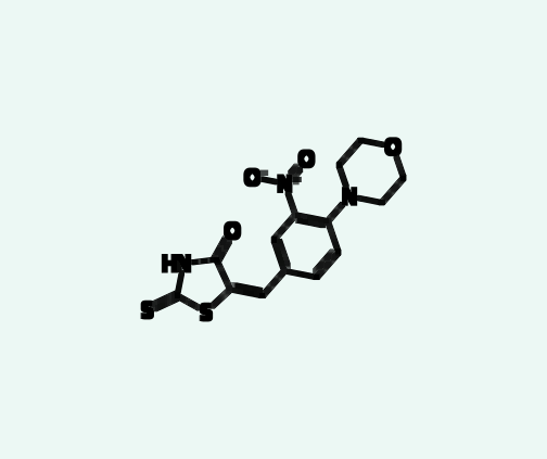 O=C1NC(=S)SC1=Cc1ccc(N2CCOCC2)c([N+](=O)[O-])c1